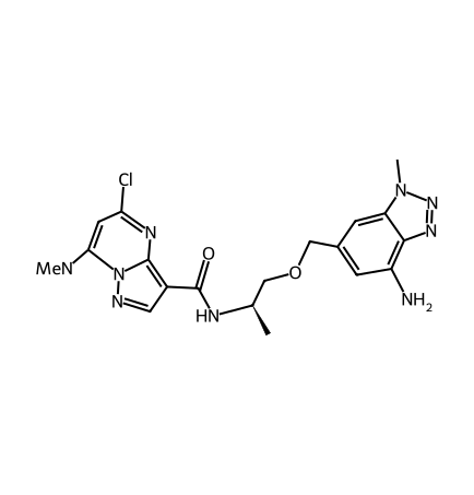 CNc1cc(Cl)nc2c(C(=O)N[C@H](C)COCc3cc(N)c4nnn(C)c4c3)cnn12